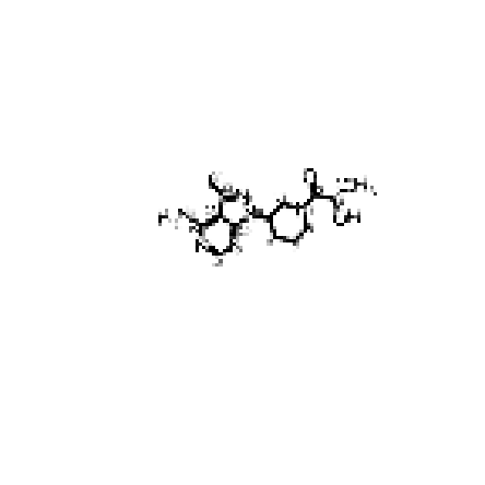 C[C@H](O)C(=O)N1CCCC(n2nc(I)c3c(N)ncnc32)C1